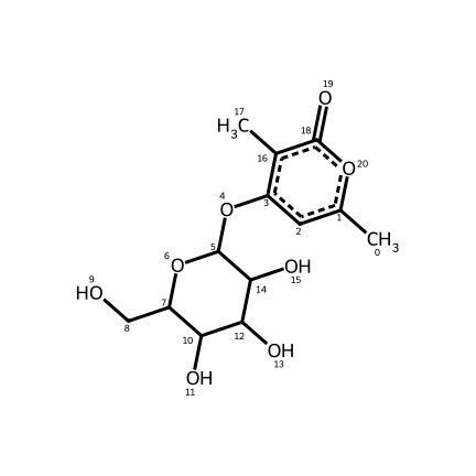 Cc1cc(OC2OC(CO)C(O)C(O)C2O)c(C)c(=O)o1